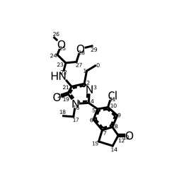 CCc1nc(-c2cc3c(cc2Cl)C(=O)CC3)n(CC)c(=O)c1NC(COC)COC